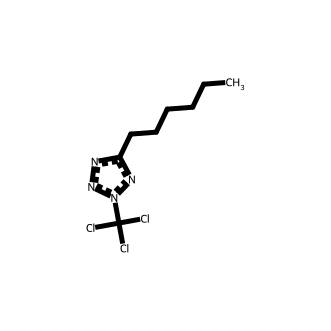 CCCCCCc1nnn(C(Cl)(Cl)Cl)n1